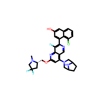 CN1CC(F)(F)C[C@H]1COc1cc(N2CC3CCC(C2)N3)c2cnc(-c3cc(O)cc4cccc(Cl)c34)c(F)c2n1